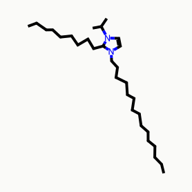 CCCCCCCCCCCCCCCN1C=CN(C(C)C)C1CCCCCCCCC